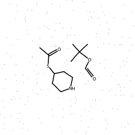 CC(=O)SC1CCNCC1.CC(C)(C)OC=O